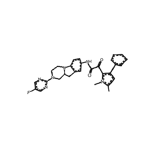 Cc1cc(-c2ccccc2)c(C(=O)C(=O)Nc2ccc3c(c2)CC2CN(c4ncc(F)cn4)CCN32)n1C